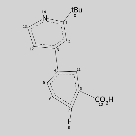 CC(C)(C)c1cc(-c2ccc(F)c(C(=O)O)c2)ccn1